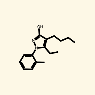 CCCCc1c(O)nn(-c2ccccc2C)c1CC